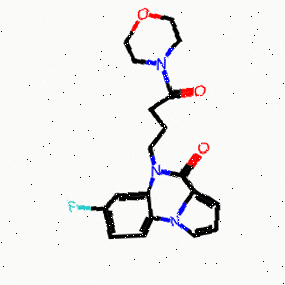 O=C(CCCn1c(=O)c2cccn2c2ccc(F)cc21)N1CCOCC1